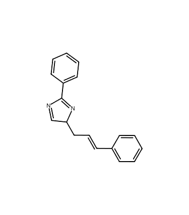 C(=Cc1ccccc1)CC1C=NC(c2ccccc2)=N1